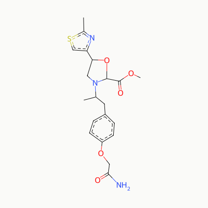 COC(=O)C1OC(c2csc(C)n2)CN1C(C)Cc1ccc(OCC(N)=O)cc1